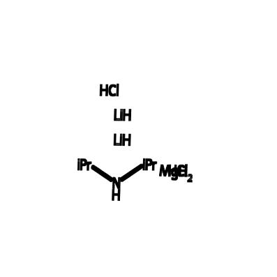 CC(C)NC(C)C.Cl.Cl.[LiH].[LiH].[MgH2]